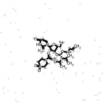 [2H]C[C@H]1OC(N2C=CC(=O)NC2=C)[C@@H](OC(=S)N2CCS(=O)(=O)CC2)[C@H]1OP(ONCC=C)N(C(C)C)C(C)C